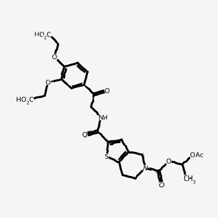 CC(=O)OC(C)OC(=O)N1CCc2sc(C(=O)NCC(=O)c3ccc(OCC(=O)O)c(OCC(=O)O)c3)cc2C1